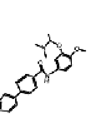 COc1ccc(NC(=O)c2ccc(-c3ccccc3)cc2)cc1OC(C)N(C)C